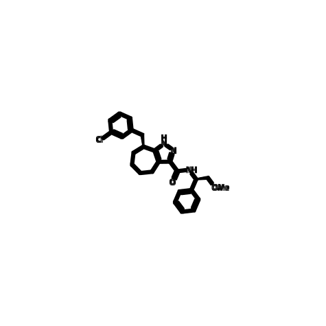 COC[C@H](NC(=O)c1n[nH]c2c1CCCC[C@H]2Cc1cccc(Cl)c1)c1ccccc1